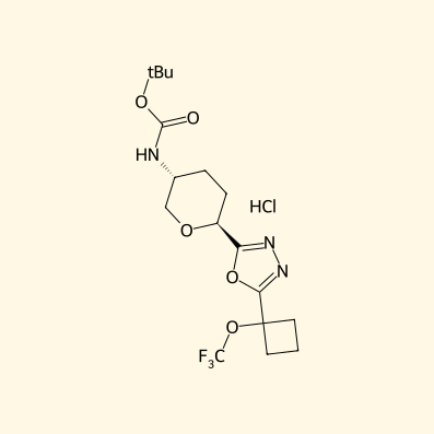 CC(C)(C)OC(=O)N[C@@H]1CC[C@@H](c2nnc(C3(OC(F)(F)F)CCC3)o2)OC1.Cl